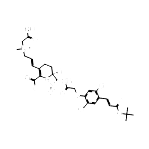 CC(C)(C)OC(=O)/C=C/c1cc(Cl)c(SCC(=O)N[C@H]2[C@H]3CCC(C=CC[N+](C)(C)CC(N)=O)=C(C(=O)[O-])N3[S+]2[O-])cc1Cl